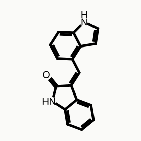 O=C1Nc2ccccc2/C1=C/c1cccc2[nH]ccc12